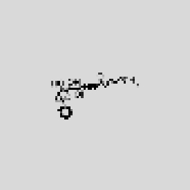 CCCCOC(=O)CCNC[C@H](O)[C@@H](O)[C@@H]1O[C@H](c2ccccc2)OC[C@H]1O